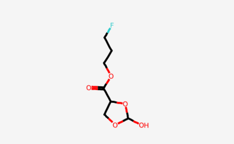 O=C(OCCCF)C1COC(O)O1